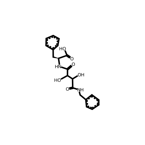 O=C(NCc1ccccc1)C(O)C(O)C(=O)N[C@@H](Cc1ccccc1)C(=O)O